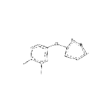 Cc1ccc(Oc2cc[c]nn2)cc1C